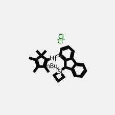 CCCC[Si]1(C2c3ccccc3-c3ccc[c]([Hf+2][C]4=C(C)C(C)=C(C)C4(C)C)c32)CCC1.[Cl-].[Cl-]